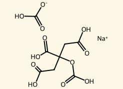 O=C(O)CC(CC(=O)O)(OC(=O)O)C(=O)O.O=C([O-])O.[Na+]